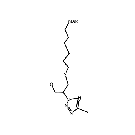 CCCCCCCCCCCCCCCCSCC(CO)n1nnc(C)n1